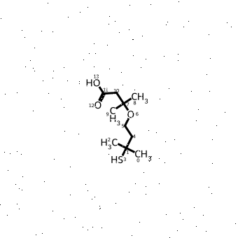 CC(C)(S)CCOC(C)(C)CC(=O)O